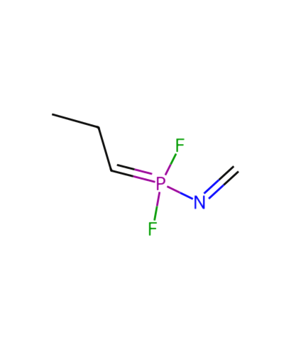 C=NP(F)(F)=CCC